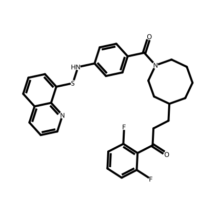 O=C(CCC1CCCCN(C(=O)c2ccc(NSc3cccc4cccnc34)cc2)CC1)c1c(F)cccc1F